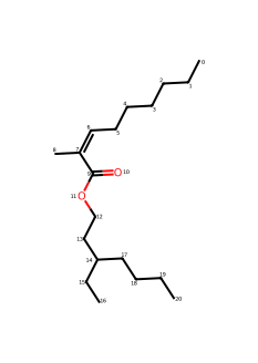 CCCCCCC=C(C)C(=O)OCCC(CC)CCCC